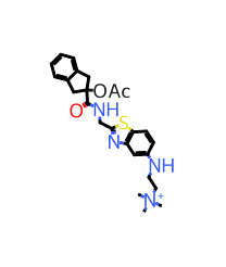 CC(=O)OC1(C(=O)NCc2nc3cc(NCC[N+](C)(C)C)ccc3s2)Cc2ccccc2C1